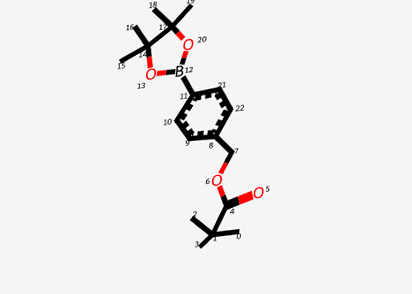 CC(C)(C)C(=O)OCc1ccc(B2OC(C)(C)C(C)(C)O2)cc1